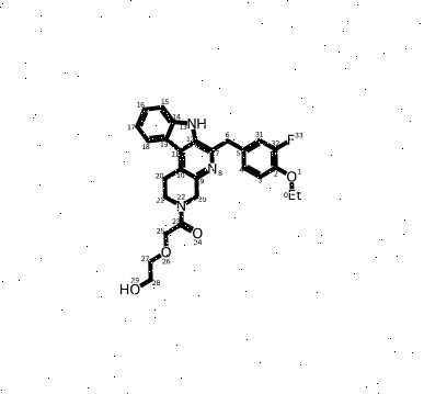 CCOc1ccc(Cc2nc3c(c4c2[nH]c2ccccc24)CCN(C(=O)COCCO)C3)cc1F